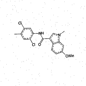 COc1ccc2c(C(=O)Nc3cc(Cl)c(C)cc3Cl)cn(C)c2c1